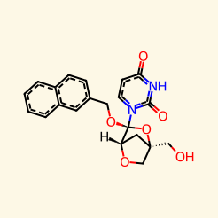 O=c1ccn([C@]2(OCc3ccc4ccccc4c3)O[C@@]3(CO)CO[C@H]2C3)c(=O)[nH]1